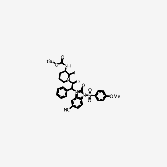 COc1ccc(S(=O)(=O)n2c(=O)n(C(C(=O)N3CCCC(NC(=O)OC(C)(C)C)C3I)c3ccccc3)c3cc(C#N)ccc32)cc1